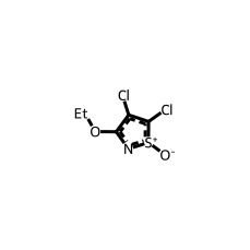 CCOc1n[s+]([O-])c(Cl)c1Cl